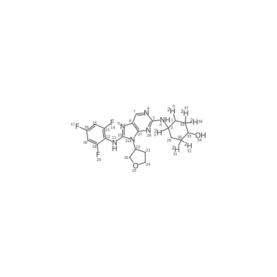 [2H]C1C([2H])(Nc2ncc3nc(Nc4c(F)cc(F)cc4F)n(C4CCOC4)c3n2)CC([2H])([2H])C(O)C1([2H])[2H]